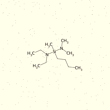 CCCC[Si](C)(N(C)C)N(CC)CC